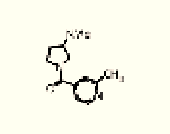 CNC1CCN(C(=O)c2ccnc(C)c2)C1